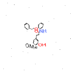 COc1ccc(C=CC(=O)Nc2ccccc2OCCc2ccccc2)cc1O